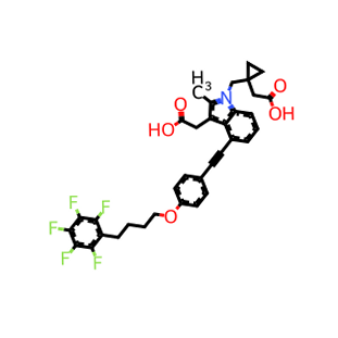 Cc1c(CC(=O)O)c2c(C#Cc3ccc(OCCCCc4c(F)c(F)c(F)c(F)c4F)cc3)cccc2n1CC1(CC(=O)O)CC1